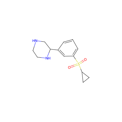 O=S(=O)(c1cccc(C2CNCCN2)c1)C1CC1